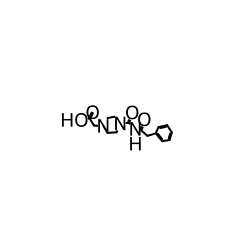 O=C(O)CN1CCN(C(=O)NC(=O)Cc2ccccc2)CC1